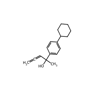 C=C=CC(C)(O)c1ccc(C2CCCCC2)cc1